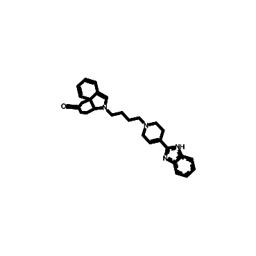 O=C1CCC2N(CCCCN3CC=C(c4nc5ccccc5[nH]4)CC3)C=C3C=CC=CC32C1